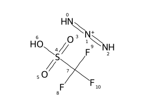 N=[N+]=N.O=S(=O)(O)C(F)(F)F